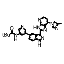 Cc1cn(-c2ccnc3[nH]c(-c4n[nH]c5ccc(-c6cncc(NC(=O)C(C)(C)C)c6)cc45)nc23)cn1